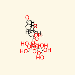 C[C@]12C=CC(=O)C=C1CC[C@@H]1[C@@H]2C(=O)C[C@@]2(C)[C@H]1CC[C@]2(O)C(=O)COC1(CO)O[C@H](CO)[C@@H](O[C@H]2O[C@@H](CO)[C@@H](O)[C@@H](O)[C@@H]2O)[C@@H]1O